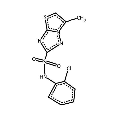 Cc1csc2nc(S(=O)(=O)Nc3ccccc3Cl)nn12